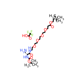 CC(C)(C)OC(=O)N[C@H](CN)C(=O)NCCOCCOCCOCCOCCC(=O)OCC[Si](C)(C)C.O=C(O)C(F)(F)F